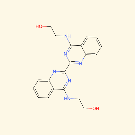 OCCNc1nc(-c2nc(NCCO)c3ccccc3n2)nc2ccccc12